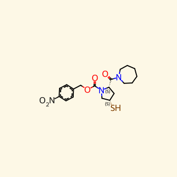 O=C([C@@H]1C[C@H](S)CN1C(=O)OCc1ccc([N+](=O)[O-])cc1)N1CCCCCC1